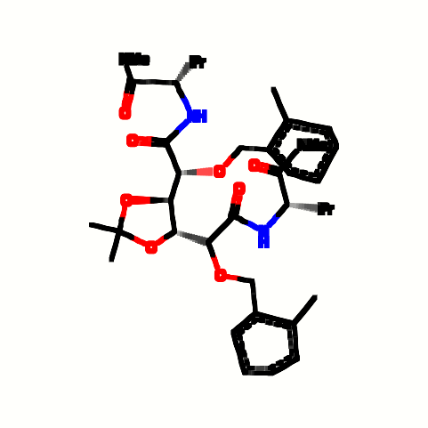 CNC(=O)[C@@H](NC(=O)C(OCc1ccccc1C)[C@@H]1OC(C)(C)O[C@H]1[C@@H](OCc1ccccc1C)C(=O)N[C@H](C(=O)NC)C(C)C)C(C)C